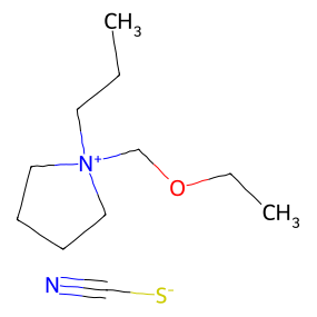 CCC[N+]1(COCC)CCCC1.N#C[S-]